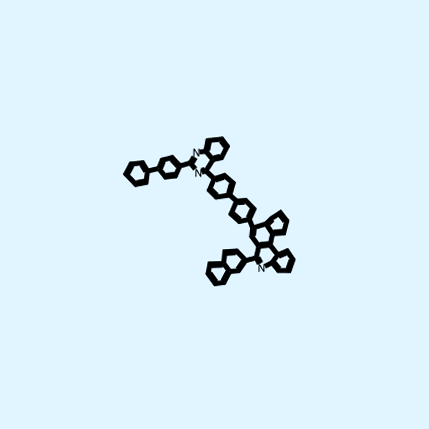 c1ccc(-c2ccc(-c3nc(-c4ccc(-c5ccc(-c6cc7c(-c8ccc9ccccc9c8)nc8ccccc8c7c7ccccc67)cc5)cc4)c4ccccc4n3)cc2)cc1